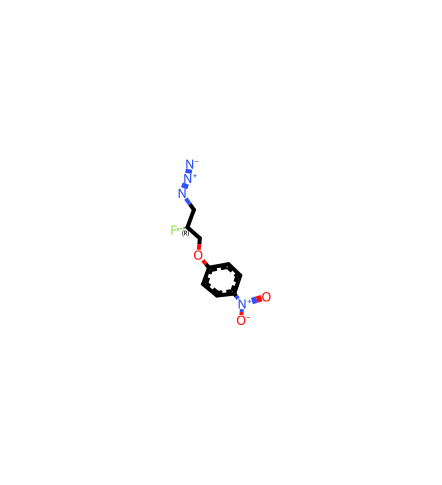 [N-]=[N+]=NC[C@@H](F)COc1ccc([N+](=O)[O-])cc1